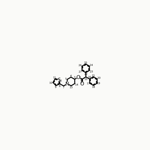 O=C(OC1CCN(Cc2cccs2)CC1)C(c1ccccc1)c1ccccc1